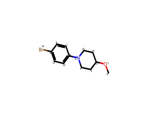 COC1CCN(c2ccc(Br)cc2)CC1